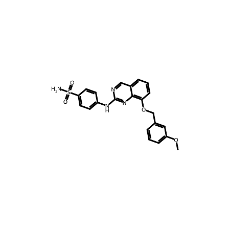 COc1cccc(COc2cccc3cnc(Nc4ccc(S(N)(=O)=O)cc4)nc23)c1